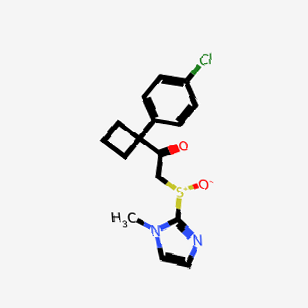 Cn1ccnc1[S+]([O-])CC(=O)C1(c2ccc(Cl)cc2)CCC1